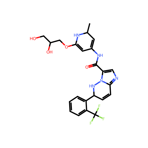 CC1C=C(NC(=O)c2cnc3n2NC(c2ccccc2C(F)(F)F)C=C3)C=C(OCC(O)CO)N1